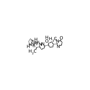 C=C(c1ccc(-c2ccc(-c3nccc(=O)n3C)cc2O)nn1)[C@@H]1C[C@H]2CC[C@H](N2)[C@H]1F